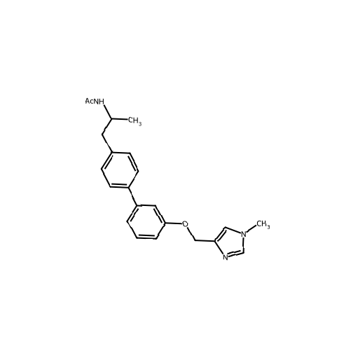 CC(=O)NC(C)Cc1ccc(-c2cccc(OCc3cn(C)cn3)c2)cc1